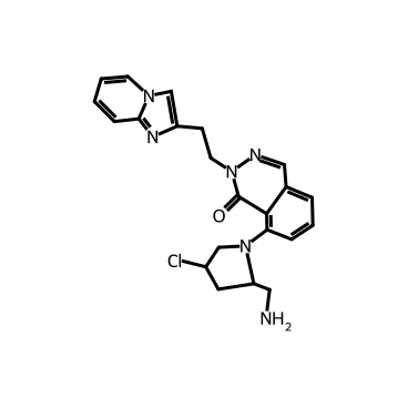 NCC1CC(Cl)CN1c1cccc2cnn(CCc3cn4ccccc4n3)c(=O)c12